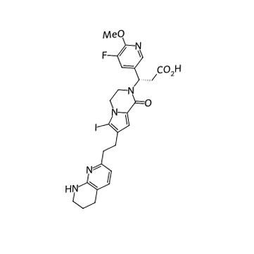 COc1ncc([C@H](CC(=O)O)N2CCn3c(cc(CCc4ccc5c(n4)NCCC5)c3I)C2=O)cc1F